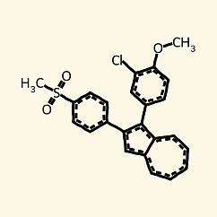 COc1ccc(-c2c3cccccc-3cc2-c2ccc(S(C)(=O)=O)cc2)cc1Cl